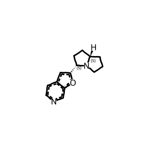 c1cc2cc([C@@H]3CC[C@@H]4CCCN43)oc2cn1